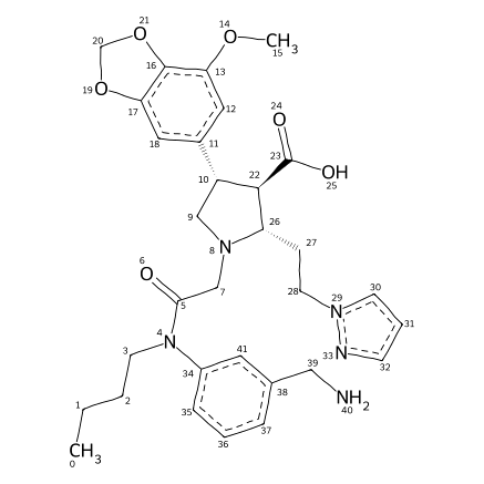 CCCCN(C(=O)CN1C[C@H](c2cc(OC)c3c(c2)OCO3)[C@@H](C(=O)O)[C@@H]1CCn1cccn1)c1cccc(CN)c1